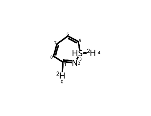 [2H]C1=N[SH]([2H])C=CC=C1